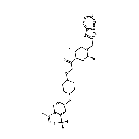 C[C@@H]1CN(Cc2nc3cc(F)ccc3s2)[C@@H](C)CN1C(=O)COC1CCC(Nc2ccc([N+](=O)[O-])c(C(F)(F)F)c2)CC1